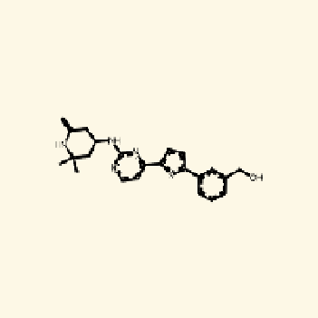 C=C1CC(Nc2nccc(-c3ccc(-c4cccc(CO)c4)s3)n2)CC(C)(C)N1